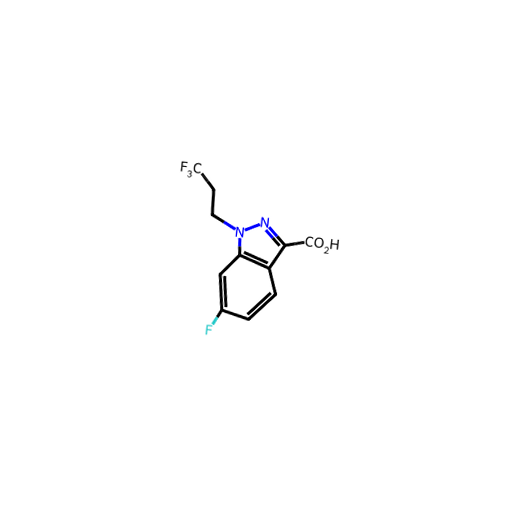 O=C(O)c1nn(CCC(F)(F)F)c2cc(F)ccc12